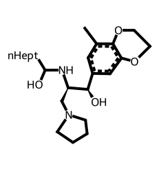 CCCCCCCC(O)N[C@H](CN1CCCC1)[C@H](O)c1cc(C)c2c(c1)OCCO2